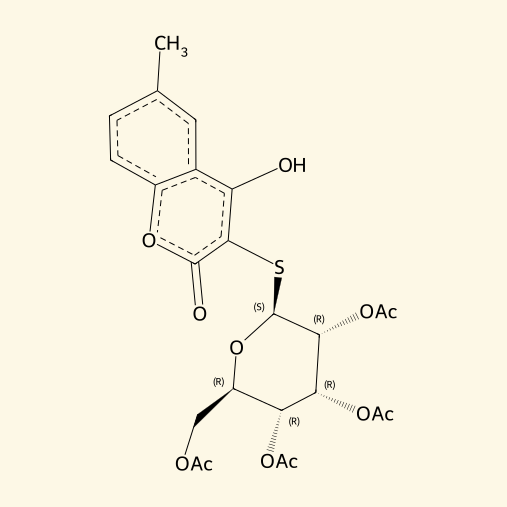 CC(=O)OC[C@H]1O[C@@H](Sc2c(O)c3cc(C)ccc3oc2=O)[C@H](OC(C)=O)[C@H](OC(C)=O)[C@@H]1OC(C)=O